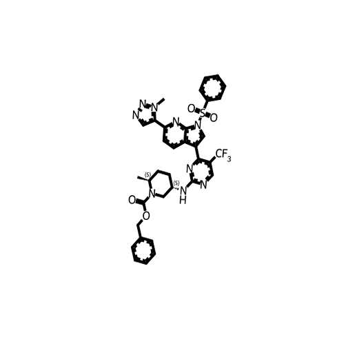 C[C@H]1CC[C@H](Nc2ncc(C(F)(F)F)c(-c3cn(S(=O)(=O)c4ccccc4)c4nc(-c5cnnn5C)ccc34)n2)CN1C(=O)OCc1ccccc1